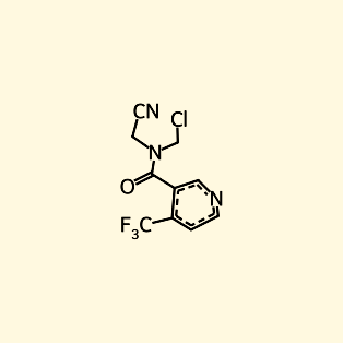 N#CCN(CCl)C(=O)c1cnccc1C(F)(F)F